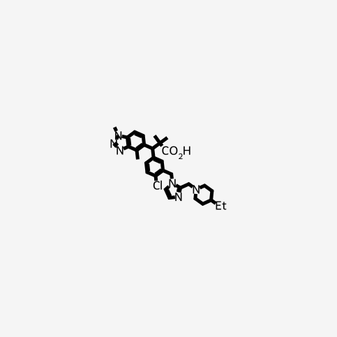 CCC1CCN(Cc2nccn2Cc2cc(C(c3ccc4c(nnn4C)c3C)C(C)(C)C(=O)O)ccc2Cl)CC1